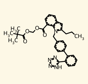 CCCc1cc2cccc(C(=O)OCOC(=O)C(C)(C)C)c2n1Cc1ccc(-c2ccccc2-c2nnn[nH]2)cc1